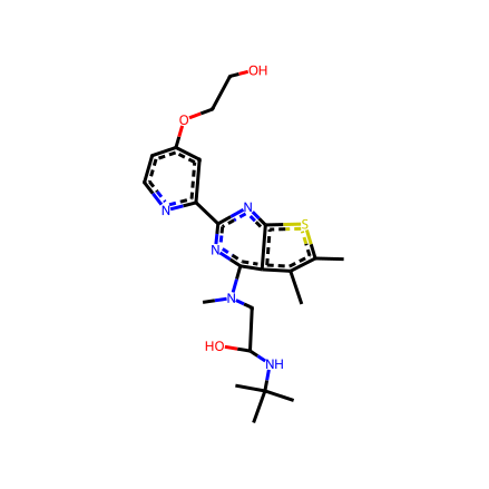 Cc1sc2nc(-c3cc(OCCO)ccn3)nc(N(C)CC(O)NC(C)(C)C)c2c1C